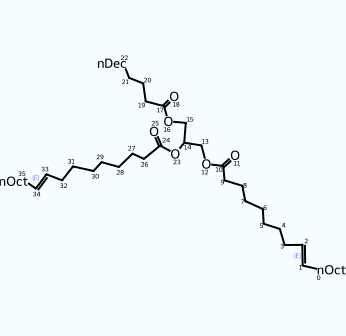 CCCCCCCC/C=C/CCCCCCCC(=O)OCC(COC(=O)CCCCCCCCCCCCC)OC(=O)CCCCCCC/C=C/CCCCCCCC